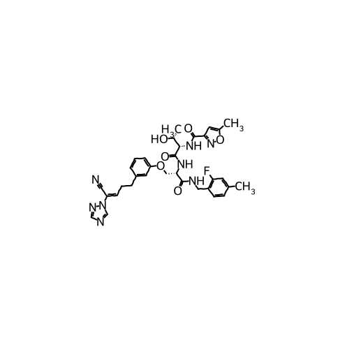 Cc1ccc(CNC(=O)[C@H](COc2cccc(CC/C=C(\C#N)n3cncn3)c2)NC(=O)[C@@H](NC(=O)c2cc(C)on2)[C@@H](C)O)c(F)c1